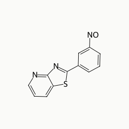 O=Nc1cccc(-c2nc3ncccc3s2)c1